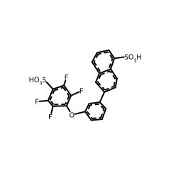 O=S(=O)(O)c1c(F)c(F)c(Oc2cccc(-c3ccc4c(S(=O)(=O)O)cccc4c3)c2)c(F)c1F